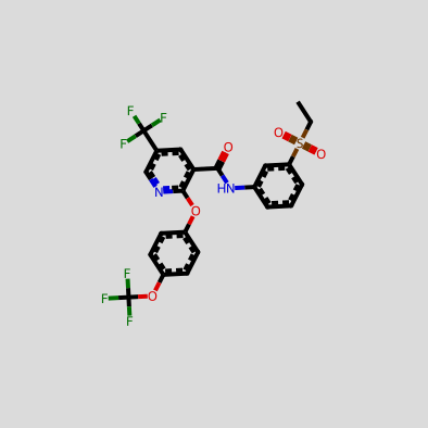 CCS(=O)(=O)c1cccc(NC(=O)c2cc(C(F)(F)F)cnc2Oc2ccc(OC(F)(F)F)cc2)c1